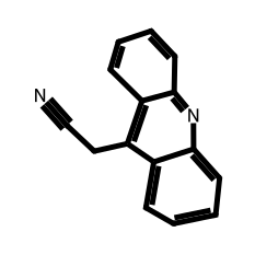 N#CCc1c2ccccc2nc2ccccc12